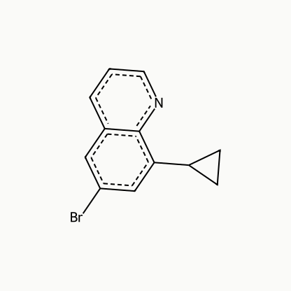 Brc1cc(C2CC2)c2ncccc2c1